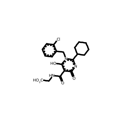 O=C(O)CNC(=O)c1c(O)n(Cc2ccccc2Cl)c(C2CCCCC2)nc1=O